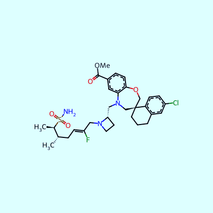 COC(=O)c1ccc2c(c1)N(C[C@@H]1CCN1CC(F)=CC[C@H](C)[C@@H](C)S(N)(=O)=O)C[C@@]1(CCCc3cc(Cl)ccc31)CO2